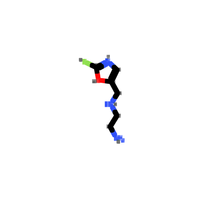 NCCNCc1cnc(F)o1